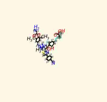 Cc1cc(C[n+]2cnn(CC(O)(c3ccc(F)cc3F)C(C)c3nc(-c4ccc(C#N)cc4)cs3)c2)cc(C)c1OC(=O)CN.O=C(O)C(F)(F)F.[Br-]